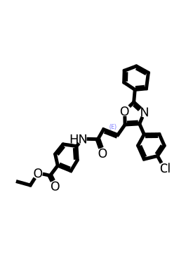 CCOC(=O)c1ccc(NC(=O)/C=C/c2oc(-c3ccccc3)nc2-c2ccc(Cl)cc2)cc1